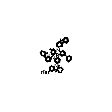 Cc1cc2c3c(c1)N(c1cccc4c1sc1ccccc14)c1cc(N4c5ccc(C(C)(C)C)cc5C5(C)CCCCC45C)ccc1B3c1cc(-c3ccccc3)ccc1N2c1ccc2sc3ccccc3c2c1